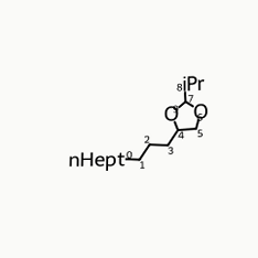 CCCCCCCCCCC1COC(C(C)C)O1